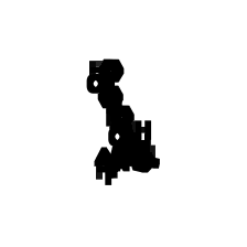 Cc1ccc(-n2nc(C3(C(F)(F)F)CC3)cc2NC(=O)Nc2ccc(N3CCN(C(=O)c4ccccc4F)CC3)nc2C)cn1